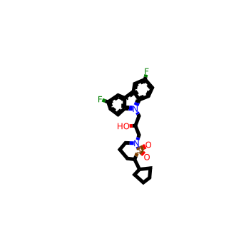 O=S1(=O)C(C2CCCC2)CCCN1CC(O)Cn1c2ccc(F)cc2c2cc(F)ccc21